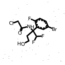 O=C(CCl)NC(CCO)(c1cc(Br)ccc1F)C(F)F